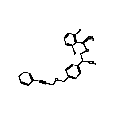 C=C(OCC(C)c1ccc(COCC#CC2=CCCC=C2)cc1)c1c(F)cccc1F